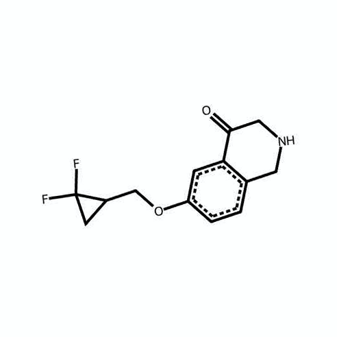 O=C1CNCc2ccc(OCC3CC3(F)F)cc21